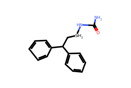 NC(=O)N[SiH2]CC(c1ccccc1)c1ccccc1